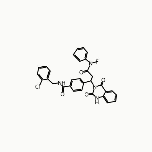 O=C(NCc1ccccc1Cl)c1ccc(C(CC(=O)N(F)c2ccccc2)n2c(=O)[nH]c3ccccc3c2=O)cc1